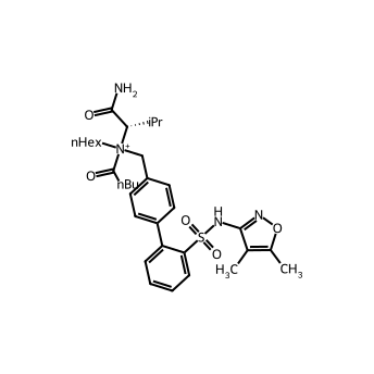 CCCCCC[N+](Cc1ccc(-c2ccccc2S(=O)(=O)Nc2noc(C)c2C)cc1)(C(=O)CCCC)[C@H](C(N)=O)C(C)C